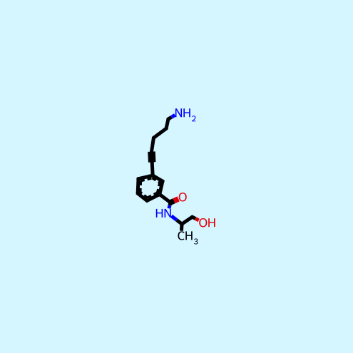 CC(CO)NC(=O)c1cccc(C#CCCCN)c1